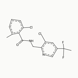 Cc1cccc(Cl)c1C(=O)NCc1ncc(C(C)(F)F)cc1Cl